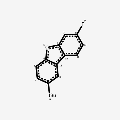 CC(C)(C)c1ccc2oc3cc(F)ccc3c2c1